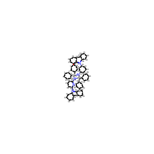 c1ccc([Si]2(c3ccccc3)N(c3cccc(-n4c5ccccc5c5ccccc54)c3)[Si](c3ccccc3)(c3ccccc3)N2c2cccc(-n3c4ccccc4c4ccccc43)n2)cc1